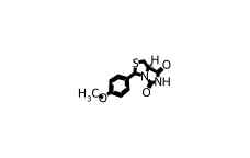 COc1ccc(C2SC[C@H]3C(=O)NC(=O)N23)cc1